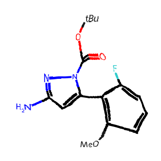 COc1cccc(F)c1-c1cc(N)nn1C(=O)OC(C)(C)C